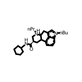 CCCCn1cc2c3c(cccc31)C1C[C@@H](C(=O)NC3CCCCC3)CN(CCC)[C@@H]1C2